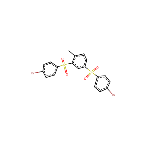 Cc1ccc(S(=O)(=O)c2ccc(Br)cc2)cc1S(=O)(=O)c1ccc(Br)cc1